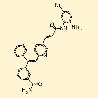 N#Cc1ccc(N)c(NC(=O)/C=C/c2ccc(/C=C(\c3ccccc3)c3cccc(C(N)=O)c3)nc2)c1